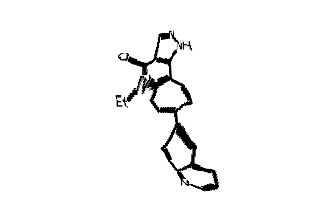 CCn1c(=O)c2cn[nH]c2c2ccc(-c3ccc4ncccc4c3)cc21